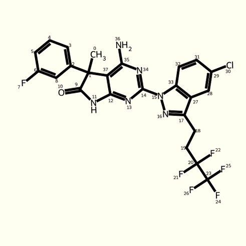 CC1(c2cccc(F)c2)C(=O)Nc2nc(-n3nc(CCC(F)(F)C(F)(F)F)c4cc(Cl)ccc43)nc(N)c21